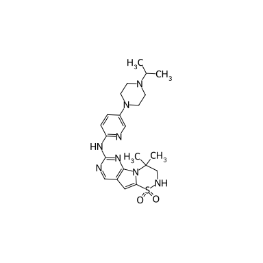 CC(C)N1CCN(c2ccc(Nc3ncc4cc5n(c4n3)C(C)(C)CNS5(=O)=O)nc2)CC1